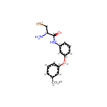 N[C@@H](CS)C(=O)Nc1cccc(Oc2cccc(C(=O)O)c2)c1